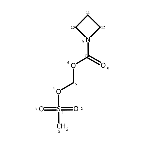 CS(=O)(=O)OCOC(=O)N1CCC1